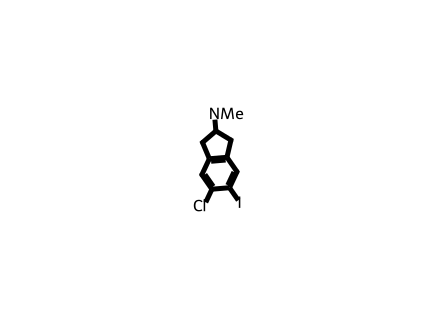 CNC1Cc2cc(Cl)c(I)cc2C1